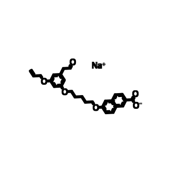 C=CCOc1cc(CC=O)cc(OCCCCCOc2ccc3cc(C(=O)[O-])ccc3c2)c1.[Na+]